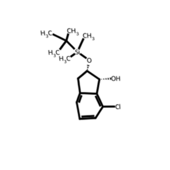 CC(C)(C)[Si](C)(C)O[C@H]1Cc2cccc(Cl)c2[C@H]1O